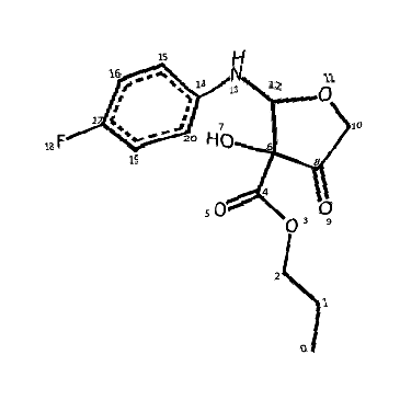 CCCOC(=O)C1(O)C(=O)COC1Nc1ccc(F)cc1